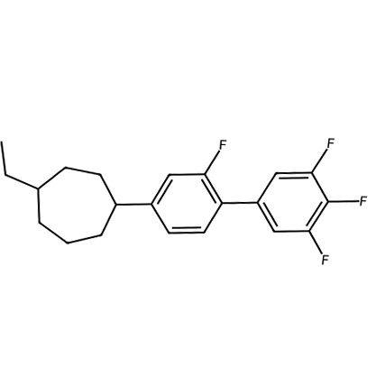 CCC1CCCC(c2ccc(-c3cc(F)c(F)c(F)c3)c(F)c2)CC1